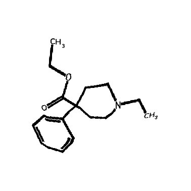 CCOC(=O)C1(c2ccccc2)CCN(CC)CC1